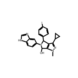 Cn1nc(C2CC2)c2c1C(O)N(c1ccc3[nH]cnc3c1)C2c1ccc(I)cc1